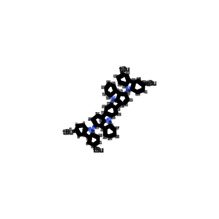 CC(C)(C)c1ccc2c(c1)c1cc(C(C)(C)C)ccc1n2C1=CC=C2c3cc4c(cc3N3c5ccccc5C1C23)c1ccc(-n2c3ccc(C(C)(C)C)cc3c3cc(C(C)(C)C)ccc32)c2c3ccccc3n4c12